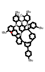 CC1C2=C(C=CC1C(C)(C)C)N1c3ccc(C(C)(C)C)cc3C3(C)c4ccc(cc4)-c4cc(-c5ccc(C(C)(C)C)cc5)cc(c4)-c4cccc5c6ccccc6n(c45)-c4cc5c(c1c43)B2c1cc(C(C)(C)C)ccc1N5c1ccc(C(C)(C)C)cc1